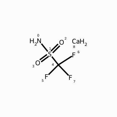 NS(=O)(=O)C(F)(F)F.[CaH2]